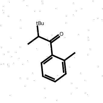 Cc1ccccc1C(=O)C(C)C(C)(C)C